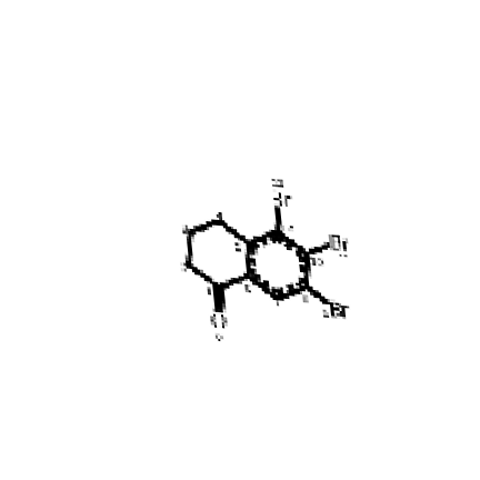 O=C1CCCc2c1cc(Br)c(Br)c2Br